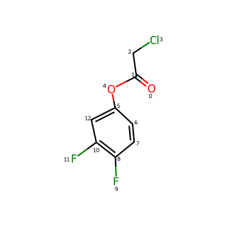 O=C(CCl)Oc1ccc(F)c(F)c1